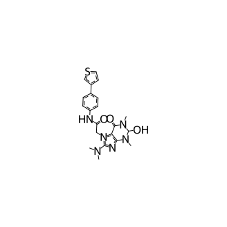 CN(C)c1nc2c(n1CC(=O)Nc1ccc(-c3ccsc3)cc1)C(=O)N(C)C(O)N2C